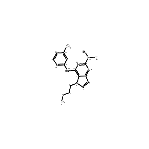 CCCOCCn1ncc2nc(N(CC)CC)nc(Nc3cc(C)ccn3)c21